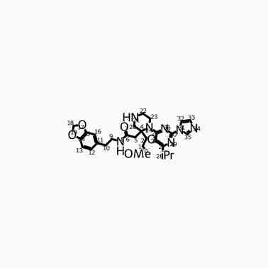 COCC(=O)C1(CC(=O)NCCc2ccc3c(c2)OCO3)CNCCN1c1cc(C(C)C)nc(-n2ccnc2)n1